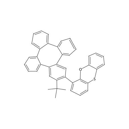 CC(C)(C)c1cc2c(cc1-c1cccc3c1Oc1ccccc1S3)-c1ccccc1-c1ccccc1-c1ccccc1-2